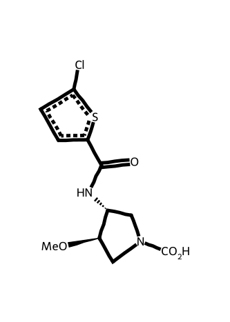 CO[C@@H]1CN(C(=O)O)C[C@H]1NC(=O)c1ccc(Cl)s1